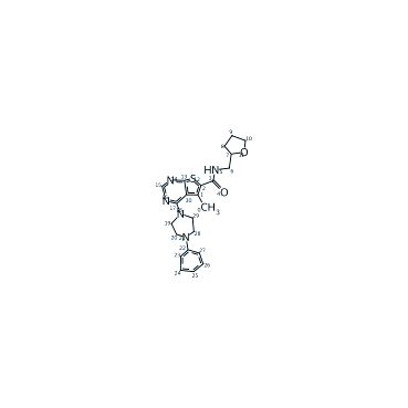 Cc1c(C(=O)NCC2CCCO2)sc2ncnc(N3CCN(c4ccccc4)CC3)c12